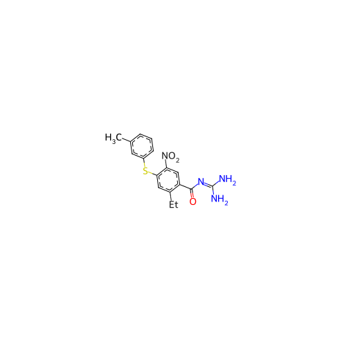 CCc1cc(Sc2cccc(C)c2)c([N+](=O)[O-])cc1C(=O)N=C(N)N